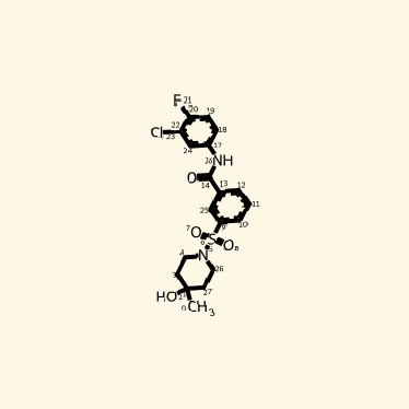 CC1(O)CCN(S(=O)(=O)c2cccc(C(=O)Nc3ccc(F)c(Cl)c3)c2)CC1